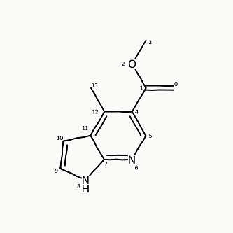 C=C(OC)c1cnc2[nH]ccc2c1C